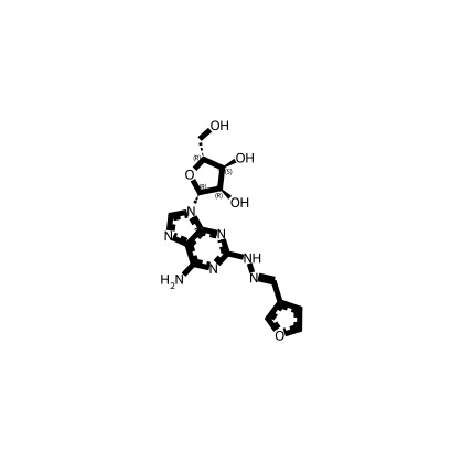 Nc1nc(NN=Cc2ccoc2)nc2c1ncn2[C@@H]1O[C@H](CO)[C@@H](O)[C@H]1O